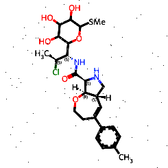 CSC1OC([C@H](NC(=O)[C@H]2NC[C@@H]3C=C(c4ccc(C)cc4)CCO[C@@H]23)[C@H](C)Cl)C(O)C(O)C1O